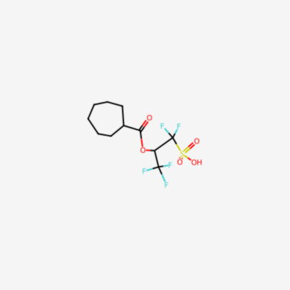 O=C(OC(C(F)(F)F)C(F)(F)S(=O)(=O)O)C1CCCCCC1